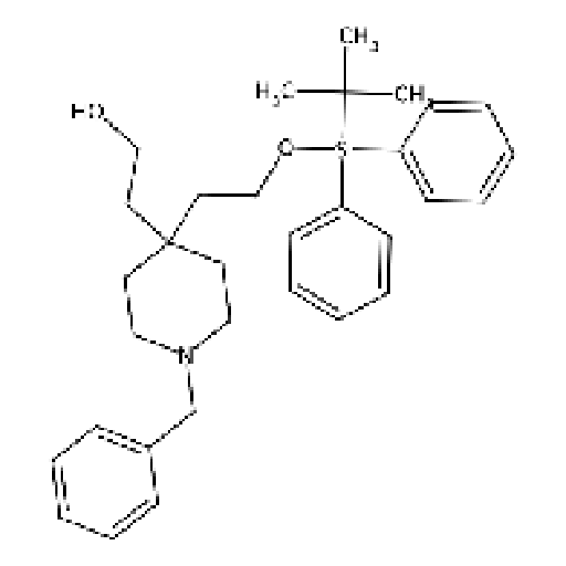 CC(C)(C)[Si](OCCC1(CCO)CCN(Cc2ccccc2)CC1)(c1ccccc1)c1ccccc1